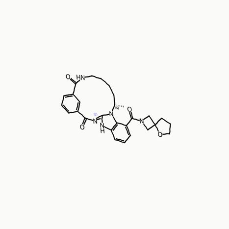 C[C@H]1CCCCNC(=O)c2cccc(c2)C(=O)/N=C2\Nc3cccc(C(=O)N4CC5(CCCO5)C4)c3N21